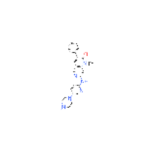 CCn1c(=O)c(-c2ccccc2)cc2cnc(Nc3ccc(N4CCN(C)CC4)cn3)cc21